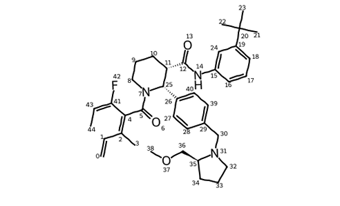 C=C/C(C)=C(C(=O)N1CCC[C@H](C(=O)Nc2cccc(C(C)(C)C)c2)[C@@H]1c1ccc(CN2CCC[C@H]2COC)cc1)\C(F)=C/C